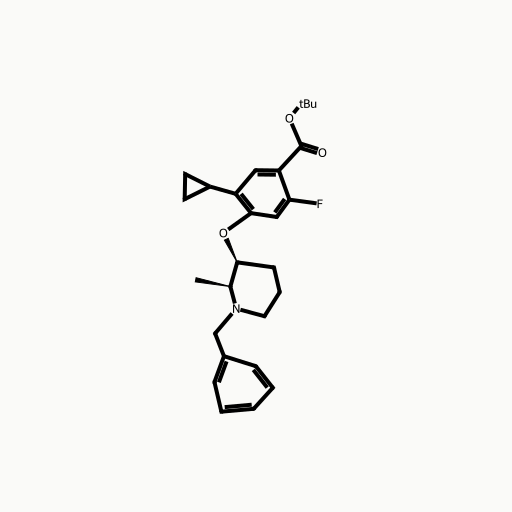 C[C@H]1[C@@H](Oc2cc(F)c(C(=O)OC(C)(C)C)cc2C2CC2)CCCN1Cc1ccccc1